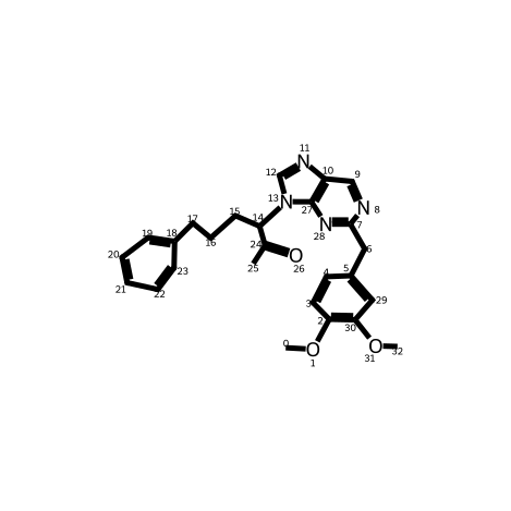 COc1ccc(Cc2ncc3ncn(C(CCCc4ccccc4)C(C)=O)c3n2)cc1OC